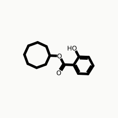 O=C(OC1CCCCCCC1)c1ccccc1O